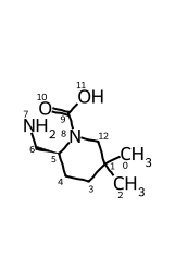 CC1(C)CC[C@@H](CN)N(C(=O)O)C1